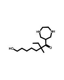 CCC(C)(CCCCCO)C(=O)C1CNCCNC1